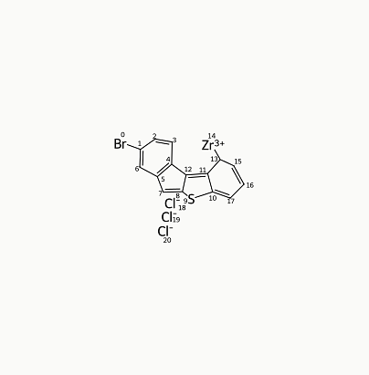 Brc1ccc2c(c1)C=c1sc3c(c1-2)[CH]([Zr+3])C=CC=3.[Cl-].[Cl-].[Cl-]